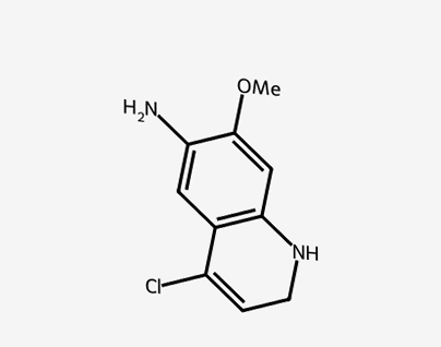 COc1cc2c(cc1N)C(Cl)=CCN2